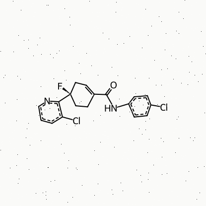 O=C(Nc1ccc(Cl)cc1)C1=CC[C@@](F)(c2ncccc2Cl)CC1